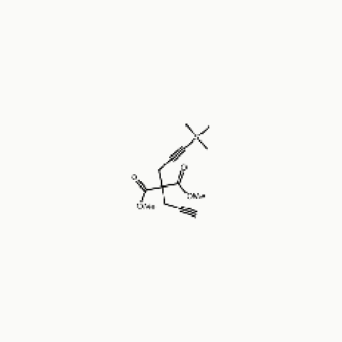 C#CCC(CC#CS(C)(C)C)(C(=O)OC)C(=O)OC